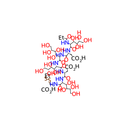 CCSSC[C@H](NC(=O)[C@@H](NC(=O)[C@H](CC(=O)O)NC(=O)[C@@H](NC(=O)[C@@H](NC(=O)[C@H](CC(=O)O)NC(=O)[C@@H](NC(=O)CC)[C@@H](O)[C@H](O)[C@H](O)CO)[C@@H](O)[C@H](O)[C@H](O)CO)[C@@H](O)[C@H](O)[C@H](O)CO)[C@@H](O)[C@H](O)[C@H](O)CO)C(=O)O